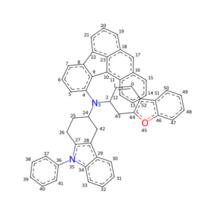 C1=CC(N(c2cccc3c2-c2c4ccccc4cc4cccc-3c24)C2CCc3c(c4ccccc4n3-c3ccccc3)C2)Cc2oc3ccccc3c21